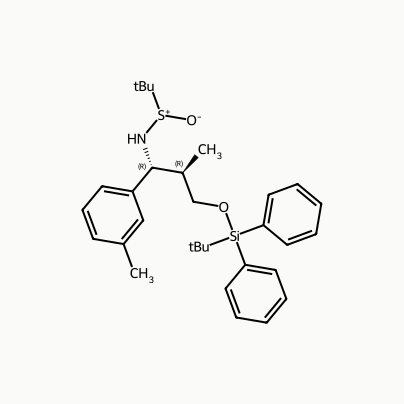 Cc1cccc([C@H](N[S+]([O-])C(C)(C)C)[C@@H](C)CO[Si](c2ccccc2)(c2ccccc2)C(C)(C)C)c1